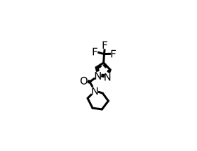 O=C(N1CCCCC1)n1cc(C(F)(F)F)cn1